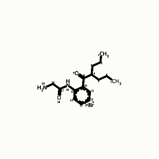 Br.CCCC(CCC)C(=O)c1ccccc1NC(=O)CN